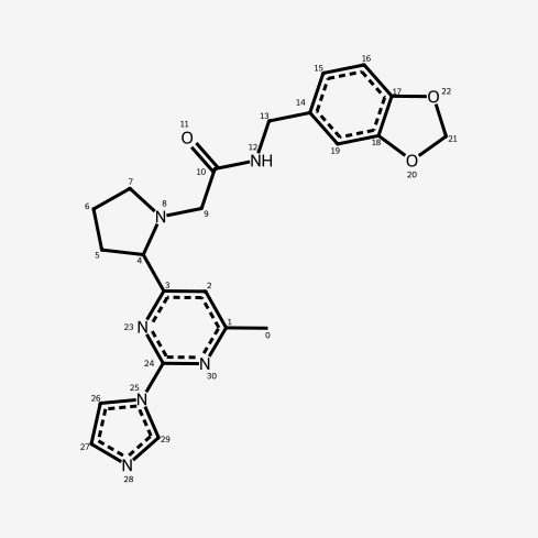 Cc1cc(C2CCCN2CC(=O)NCc2ccc3c(c2)OCO3)nc(-n2ccnc2)n1